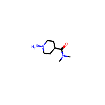 CN(C)C(=O)C1CCN(N)CC1